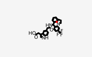 O=C(O)Cc1c[nH]c2ccc(CC(=O)NC(c3ccccc3)c3ccc(C(F)(F)F)cc3N3CCCC3)cc12